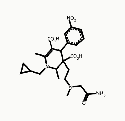 CC1=C(C(=O)O)C(c2cccc([N+](=O)[O-])c2)C(CCN(C)CC(N)=O)(C(=O)O)C(C)N1CC1CC1